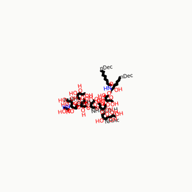 CCCCCCCCCCCCC/C=C/[C@@H](O)[C@H](CO[C@@H]1OC(CO)[C@@H](O[C@@H]2OC(CO)[C@H](O[C@@H]3OC(CO)[C@H](O)[C@H](O[C@@H]4OC(CO)[C@H](O[C@@H]5OC(CO)[C@H](O)[C@H](O)C5NC(C)=O)[C@H](O[C@]5(C(=O)O)CC(O)[C@@H](NC(=O)CO)C([C@H](O)[C@H](O)CO)O5)C4O)C3NC(C)=O)[C@H](O[C@]3(C(=O)O)CC(O)[C@@H](NC(C)=O)C([C@H](O)[C@H](O)CO)O3)C2O)[C@H](O)C1O)NC(=O)CCCCCCCCCCCCCCCCC